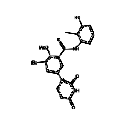 COc1c(C(=O)Nc2cccc(O)c2C)cc(-n2ccc(=O)[nH]c2=O)cc1C(C)(C)C